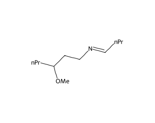 [CH2]CCC=NCCC(CCC)OC